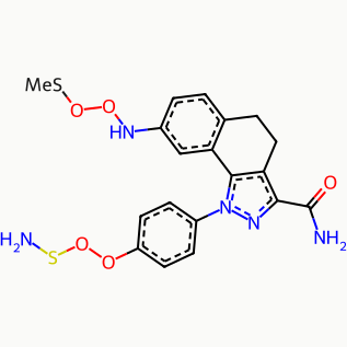 CSOONc1ccc2c(c1)-c1c(c(C(N)=O)nn1-c1ccc(OOSN)cc1)CC2